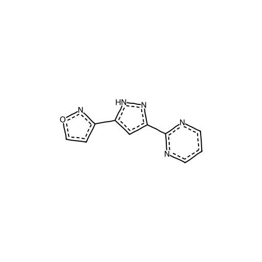 c1cnc(-c2cc(-c3ccon3)[nH]n2)nc1